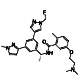 Cc1ccc(OCCN(C)C)cc1C(=O)N[C@H](C)c1cc(-c2cnn(CF)c2)cc(-c2ccn(C)n2)c1